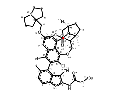 Cc1ccc2sc(NC(=O)OC(C)(C)C)c(C#N)c2c1-c1c(Cl)c2c3c(nc(OCC45CCCN4CCC5)nc3c1F)N1C[C@H]3CC[C@@H]([C@H]1CO2)N3C(=O)OC(C)(C)C